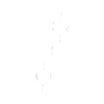 O=C(COc1ccc(O)c(Cl)c1)Oc1ccc(O)c(Cl)c1